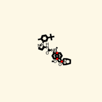 COc1ccc(C(=O)N2C3CCC2CC(Cc2ccc(NC(=O)Nc4ccnn4-c4cc(C(C)(C)C)ccc4C)cc2)C3)c(OC)c1